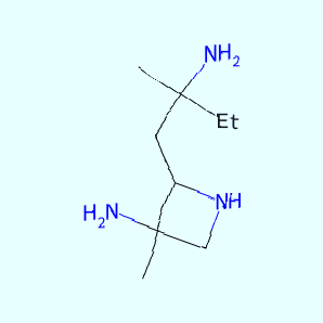 CCC(C)(N)CC1NCC1(C)N